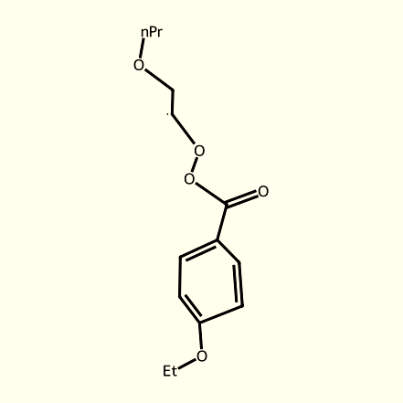 CCCOC[CH]OOC(=O)c1ccc(OCC)cc1